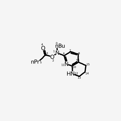 CCCCN(OC(=O)CCC)c1ccc2c(n1)NCCC2